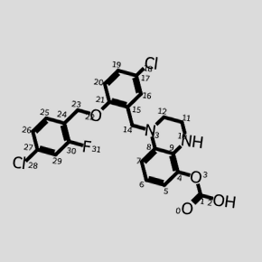 O=C(O)Oc1cccc2c1NCCN2Cc1cc(Cl)ccc1OCc1ccc(Cl)cc1F